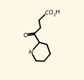 O=C(O)CCC(=O)C1CCCC[N]1